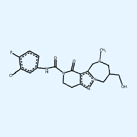 CN1Cc2c3c(nn2CC(CO)C1)CCN(C(=O)Nc1ccc(F)c(Cl)c1)C3=O